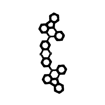 c1ccc2c(c1)N(c1ccc3c(c1)Oc1cc(N4c5ccccc5-n5c6ccccc6c6cccc4c65)ccc1O3)c1cccc3c4ccccc4n-2c13